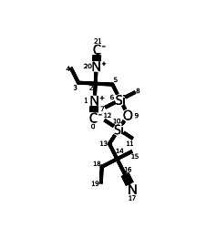 [C-]#[N+]C(CC)(C[Si](C)(C)O[Si](C)(C)CC(C)(C#N)CC)[N+]#[C-]